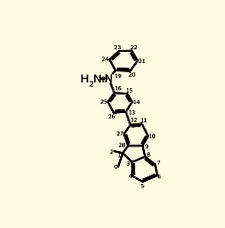 CC1(C)c2ccccc2-c2ccc(-c3ccc(N(N)c4ccccc4)cc3)cc21